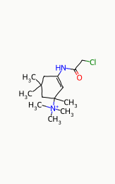 CC1(C)CC(NC(=O)CCl)=CC(C)([N+](C)(C)C)C1